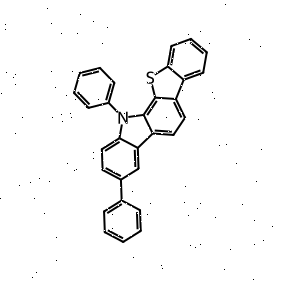 c1ccc(-c2ccc3c(c2)c2ccc4c5ccccc5sc4c2n3-c2ccccc2)cc1